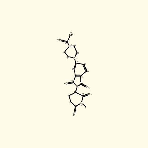 CN1C(=O)CCC(N2C(=O)c3ccc(N4CCN(C(=O)O)CC4)cc3C2=O)C1=O